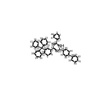 c1ccc(C2=NC(c3ccc4c(c3)C(c3ccccc3)(c3ccccc3)c3ccccc3-4)=NC(c3ccc(-c4ccccc4)cc3)N2)cc1